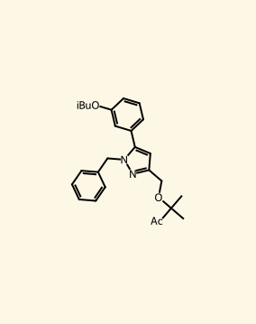 CC(=O)C(C)(C)OCc1cc(-c2cccc(OCC(C)C)c2)n(Cc2ccccc2)n1